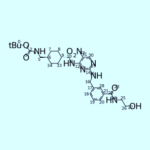 CC(C)(C)OC(=O)NC[C@H]1CC[C@H](CNc2nc(NCc3cccc(C(=O)NCCO)c3)ncc2[N+](=O)[O-])CC1